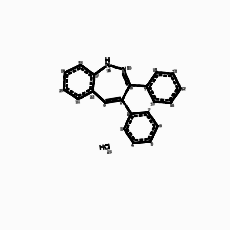 C1=C(c2ccccc2)C(c2ccccc2)=NNc2ccccc21.Cl